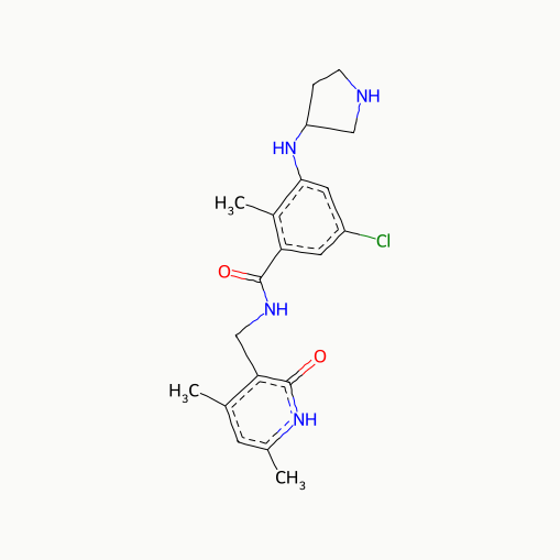 Cc1cc(C)c(CNC(=O)c2cc(Cl)cc(NC3CCNC3)c2C)c(=O)[nH]1